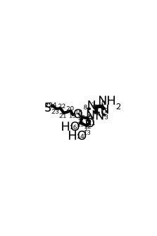 Nc1ncnc2c1ncn2[C@@H]1O[C@H](CO)[C@@H](O)[C@H]1OCCCCCC=S